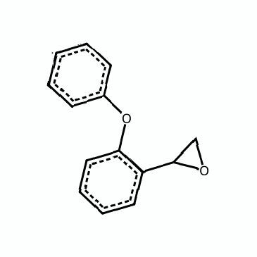 [c]1ccc(Oc2ccccc2C2CO2)cc1